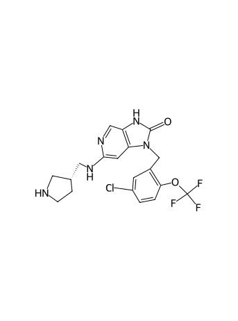 O=c1[nH]c2cnc(NC[C@@H]3CCNC3)cc2n1Cc1cc(Cl)ccc1OC(F)(F)F